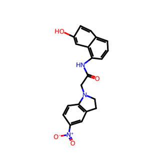 O=C(CN1CCc2cc([N+](=O)[O-])ccc21)Nc1cccc2ccc(O)cc12